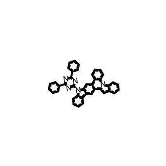 c1ccc(-c2nc(-c3ccccc3)nc(-n3c4ccccc4c4cc5c(cc43)c3ccccc3n3c4ccccc4cc53)n2)cc1